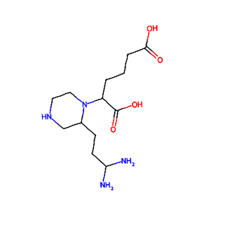 NC(N)CCC1CNCCN1C(CCCC(=O)O)C(=O)O